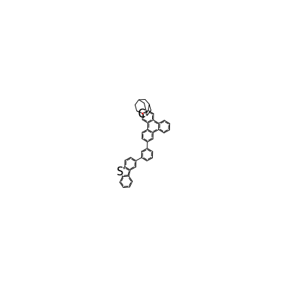 c1cc(-c2ccc3sc4ccccc4c3c2)cc(-c2ccc3c(c2)c2ccccc2c2cc4c(cc32)C2CC3CC(CC4C3)C2)c1